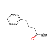 CCCCC(=O)CCCc1ccccc1